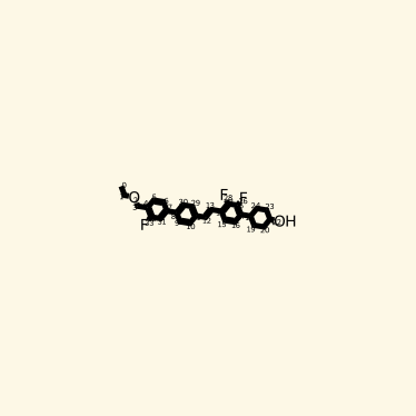 CCOCc1ccc(-c2ccc(/C=C/c3ccc(C4CCC(O)CC4)c(F)c3F)cc2)cc1F